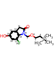 C[Si](C)(C)CCOCN1C(=O)Cc2cc(O)cc(F)c21